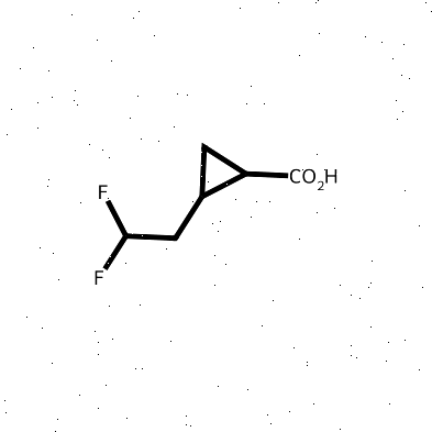 O=C(O)C1CC1CC(F)F